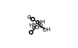 COc1ccc(C2CN/C(=N\OCCO)C2NC(=O)OCc2ccccc2)cc1